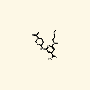 COCCN(C)c1cc(C(=O)O)cc(NC2CCN(C(C)=O)CC2)n1